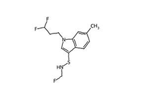 Cc1ccc2c(SNCF)cn(CCC(F)F)c2c1